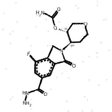 NNC(=O)c1cc(F)c2c(c1)C(=O)N([C@@H]1CCOC[C@H]1OC(N)=O)C2